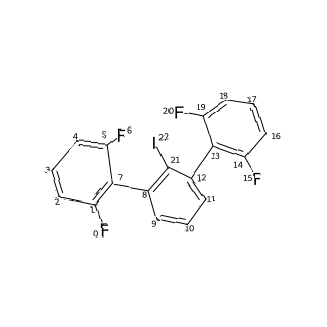 Fc1cccc(F)c1-c1cccc(-c2c(F)cccc2F)c1I